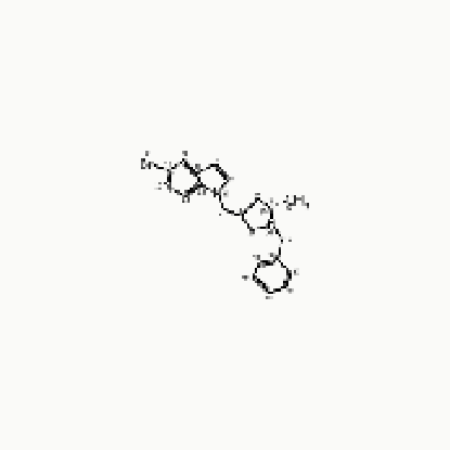 C[C@H]1CC(Cn2ccc3cc(Br)ncc32)CN1Cc1ccccc1